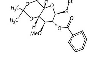 CCS[C@@H]1O[C@H]2COC(C)(C)O[C@H]2[C@H](OC)[C@H]1OC(=O)c1ccccc1